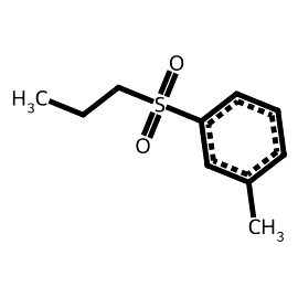 CCCS(=O)(=O)c1cccc(C)c1